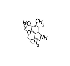 CCOC=O.Cc1cc2[nH]ccc2cc1O